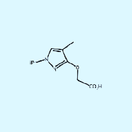 Cc1cn(C(C)C)nc1OCC(=O)O